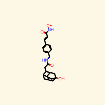 O=C(/C=C/c1ccc(CNC(=O)CC2C3CC4CC2CC(O)(C4)C3)cc1)NO